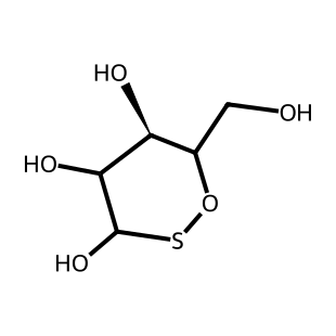 OCC1OSC(O)C(O)[C@H]1O